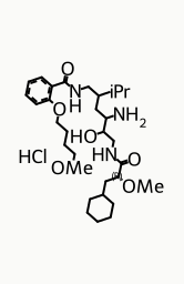 COCCCCOc1ccccc1C(=O)NCC(CC(N)C(O)CNC(=O)[C@@H](CC1CCCCC1)OC)C(C)C.Cl